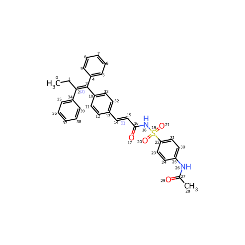 CC/C(=C(\c1ccccc1)c1ccc(/C=C/C(=O)NS(=O)(=O)c2ccc(NC(C)=O)cc2)cc1)c1ccccc1